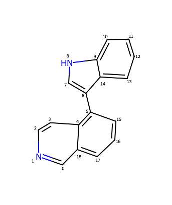 [c]1nccc2c(-c3c[nH]c4ccccc34)cccc12